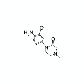 COc1cc(N2CCN(C)CC2=O)ccc1N